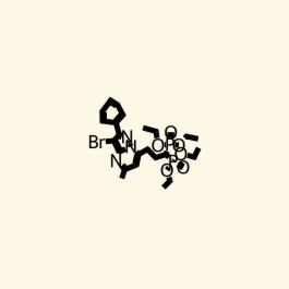 CCOP(=O)(OCC)C(CCc1cc(C)nc2c(Br)c(-c3ccccc3)nn12)P(=O)(OCC)OCC